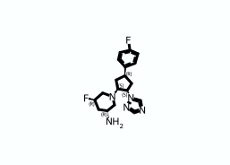 N[C@@H]1C[C@@H](F)CN([C@H]2C[C@@H](c3ccc(F)cc3)C[C@@H]2n2cncn2)C1